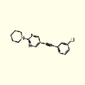 Clc1cccc(C#Cc2cnc(N3CCCCC3)nc2)c1